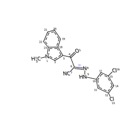 Cn1cc(C(=O)/C(C#N)=N/Nc2cc(Cl)cc(Cl)c2)c2ccccc21